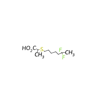 CC(SCCCCCC(C)(F)F)C(=O)O